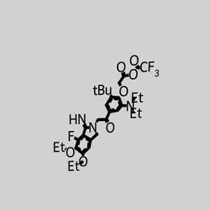 CCOc1cc2c(c(F)c1OCC)C(=N)N(CC(=O)c1cc(N(CC)CC)c(OCC(=O)OC(=O)C(F)(F)F)c(C(C)(C)C)c1)C2